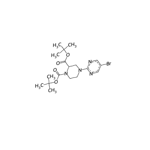 CC(C)(C)OC(=O)C1CN(c2ncc(Br)cn2)CCN1C(=O)OC(C)(C)C